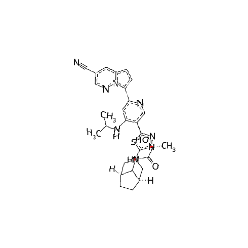 CC(C)Nc1cc(-c2ccc3cc(C#N)cnn23)ncc1-c1nnc(N2C[C@H]3CC[C@@H](C2)C3NC(=O)[C@@H](C)O)s1